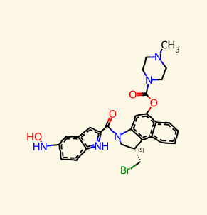 CN1CCN(C(=O)Oc2cc3c(c4ccccc24)[C@H](CBr)CN3C(=O)c2cc3cc(NO)ccc3[nH]2)CC1